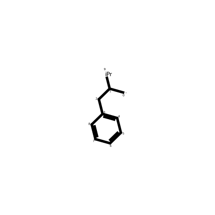 [CH2]C(Cc1ccccc1)C(C)C